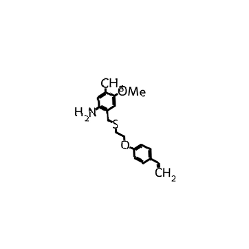 C=Cc1ccc(OCCSCc2cc(OC)c(C)cc2N)cc1